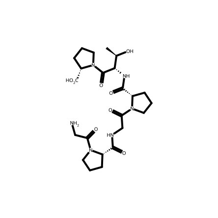 C[C@@H](O)[C@H](NC(=O)[C@@H]1CCCN1C(=O)CNC(=O)[C@@H]1CCCN1C(=O)CN)C(=O)N1CCC[C@H]1C(=O)O